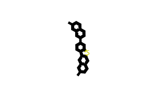 Cc1ccc2ccc(-c3ccc4c(c3)sc3cc5ccc(C)cc5cc34)cc2c1